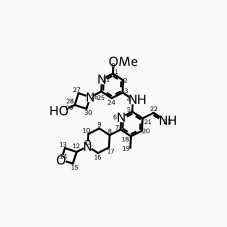 COc1cc(Nc2nc(C3CCN(C4COC4)CC3)c(C)cc2C=N)cc(N2CC(O)C2)n1